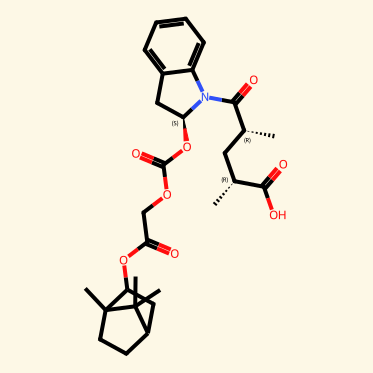 C[C@H](C[C@@H](C)C(=O)N1c2ccccc2C[C@@H]1OC(=O)OCC(=O)OC1CC2CCC1(C)C2(C)C)C(=O)O